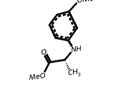 COC(=O)[C@@H](C)Nc1cccc(OC)c1